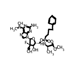 C#C[C@@]1(F)[C@H](O)[C@@H](COP(=O)(CCCCc2ccccc2)N[C@H](C)C(=O)OC)O[C@H]1n1cnc2c(N(C)C)nc(N)nc21